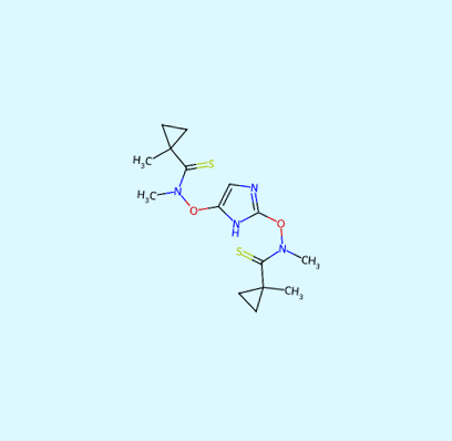 CN(Oc1cnc(ON(C)C(=S)C2(C)CC2)[nH]1)C(=S)C1(C)CC1